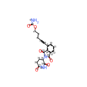 NC(=O)OCCCC#Cc1cccc2c1C(=O)N(C1CCC(=O)NC1=O)C2=O